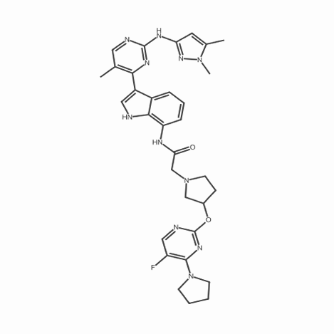 Cc1cnc(Nc2cc(C)n(C)n2)nc1-c1c[nH]c2c(NC(=O)CN3CCC(Oc4ncc(F)c(N5CCCC5)n4)C3)cccc12